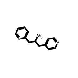 NC(Cc1ccncc1)Cc1ccccn1